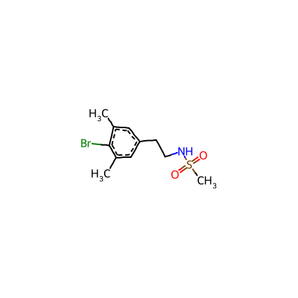 Cc1cc(CCNS(C)(=O)=O)cc(C)c1Br